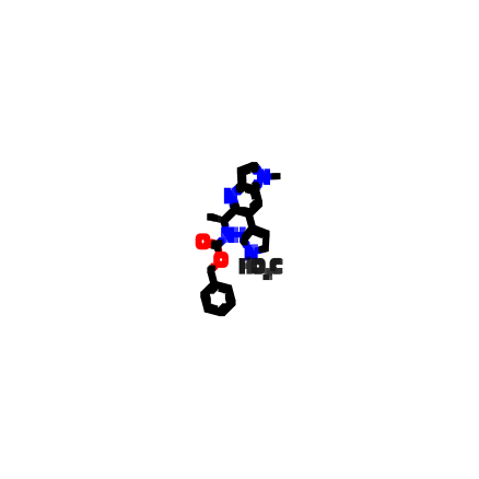 C[C@H](NC(=O)OCc1ccccc1)c1nc2ccn(C)c2cc1C1=CCN(C(=O)O)C1